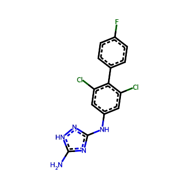 Nc1nc(Nc2cc(Cl)c(-c3ccc(F)cc3)c(Cl)c2)n[nH]1